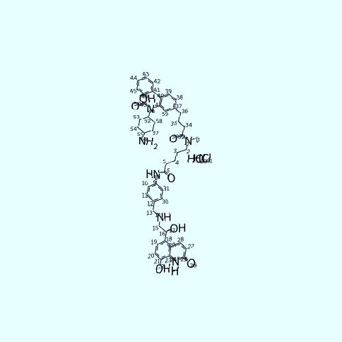 CN(CCCCC(=O)Nc1ccc(CNC[C@@H](O)c2ccc(O)c3[nH]c(=O)ccc23)cc1)C(=O)CCCc1ccc(-c2ccccc2)c(N(C(=O)O)C2CCC(N)CC2)c1.Cl.Cl